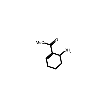 BC1CCCC=C1C(=O)OC